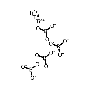 [O-]B([O-])[O-].[O-]B([O-])[O-].[O-]B([O-])[O-].[O-]B([O-])[O-].[Ti+4].[Ti+4].[Ti+4]